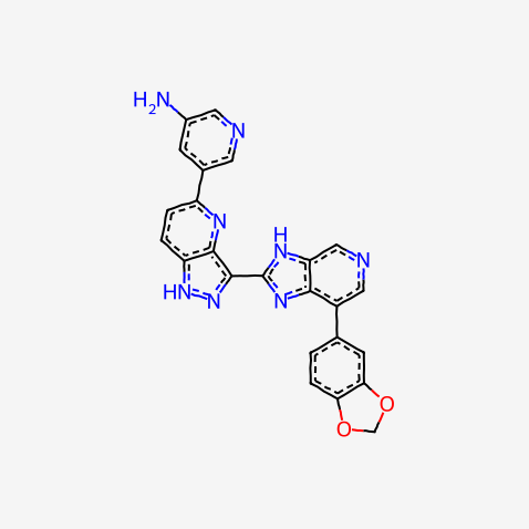 Nc1cncc(-c2ccc3[nH]nc(-c4nc5c(-c6ccc7c(c6)OCO7)cncc5[nH]4)c3n2)c1